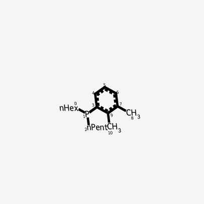 CCCCCCP(CCCCC)c1cccc(C)c1C